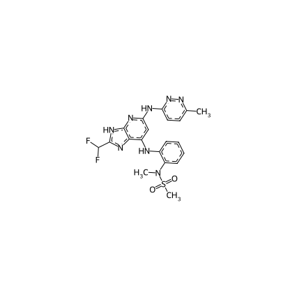 Cc1ccc(Nc2cc(Nc3ccccc3N(C)S(C)(=O)=O)c3nc(C(F)F)[nH]c3n2)nn1